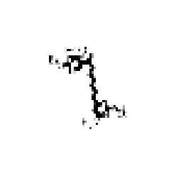 CCNc1nc(N)cc(CCCCCCC(CC(=O)O)c2cnc(OCC)nc2)n1